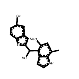 COc1cc(C)c2[nH]ccc2c1C(O)c1cc2cc(C#N)ccc2o1